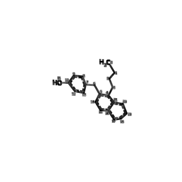 CCCCc1c(Cc2ccc(O)cc2)ccc2ccccc12